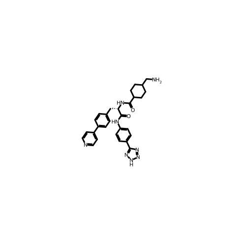 NCC1CCC(C(=O)N[C@@H](Cc2ccc(-c3ccncc3)cc2)C(=O)Nc2ccc(-c3nn[nH]n3)cc2)CC1